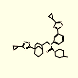 CC1CCN(C(=O)N(CC2CCC3(c4nc(C5CC5)no4)CCCC2C3)c2cccc(-c3nc(C4CC4)no3)c2)CC1